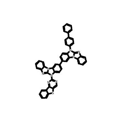 c1ccc(-c2ccc(-n3c4ccc(-c5ccc6c(c5)n5c7ccccc7nc5n6-c5ncc6sc7ccccc7c6n5)cc4n4c5ccccc5nc34)cc2)cc1